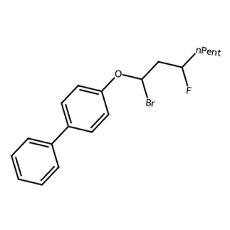 CCCCCC(F)CC(Br)Oc1ccc(-c2ccccc2)cc1